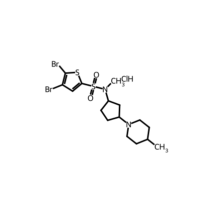 CC1CCN(C2CCC(N(C)S(=O)(=O)c3cc(Br)c(Br)s3)C2)CC1.Cl